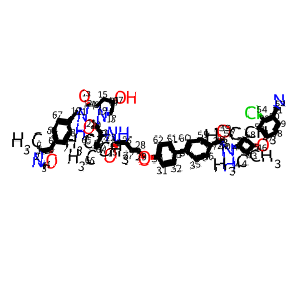 Cc1ncoc1-c1ccc(CNC(=O)[C@@H]2C[C@@H](O)CN2C(=O)[C@@H](NC(=O)CCCOc2ccc(-c3ccc(C(=O)NC4C(C)(C)C(Oc5ccc(C#N)c(Cl)c5)C4(C)C)cc3)cc2)C(C)(C)C)cc1